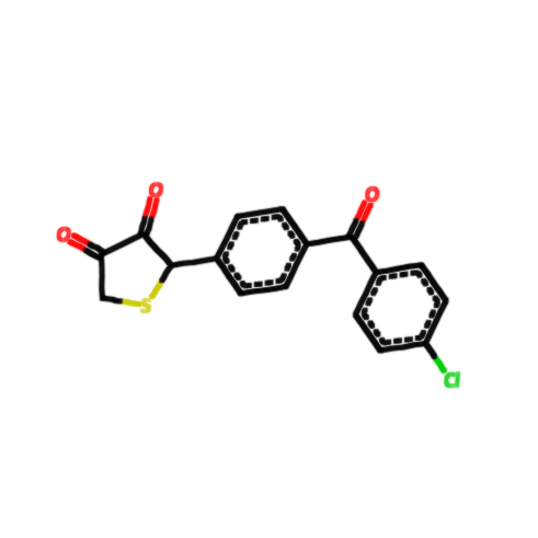 O=C1CSC(c2ccc(C(=O)c3ccc(Cl)cc3)cc2)C1=O